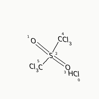 Cl.O=S(=O)(C(Cl)(Cl)Cl)C(Cl)(Cl)Cl